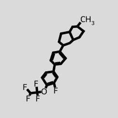 CC1CCC2CC(c3ccc(-c4ccc(OC(F)(F)C(F)F)c(F)c4)cc3)CCC2C1